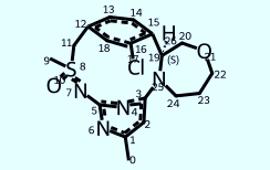 Cc1cc2nc(n1)N=S(C)(=O)Cc1ccc(c(Cl)c1)[C@H]1COCCCN21